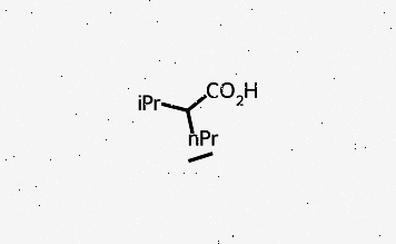 CC.CCCC(C(=O)O)C(C)C